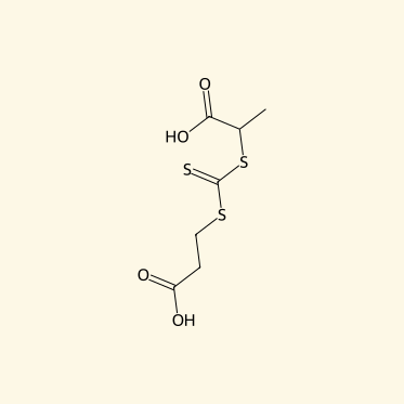 CC(SC(=S)SCCC(=O)O)C(=O)O